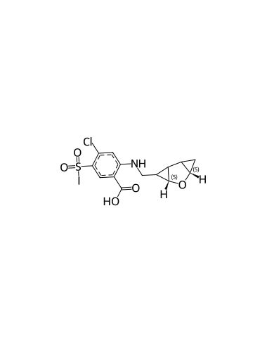 O=C(O)c1cc(S(=O)(=O)I)c(Cl)cc1NCC1C2C3C[C@@H]3O[C@H]12